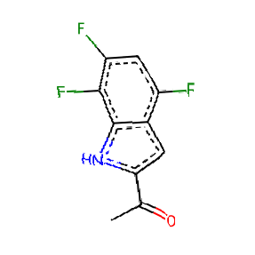 CC(=O)c1cc2c(F)cc(F)c(F)c2[nH]1